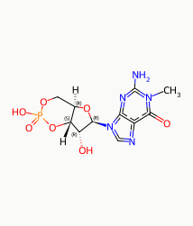 Cn1c(N)nc2c(ncn2[C@@H]2O[C@@H]3COP(=O)(O)O[C@H]3[C@H]2O)c1=O